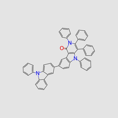 O=c1c2c3cc(-c4ccc5c(c4)c4ccccc4n5-c4ccccc4)ccc3n(-c3ccccc3)c2c(-c2ccccc2)c(-c2ccccc2)n1-c1ccccc1